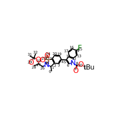 CC1c2cc(-c3cn(C(=O)OC(C)(C)C)c4cc(F)ccc34)ccc2S(=O)(=O)N1CC1COC(C)(C)O1